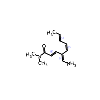 C/C=C/C=C\C(\C=C\C(=O)N(C)C)=C/N